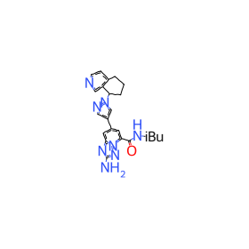 CCC(C)NC(=O)c1cc(-c2cnn(C3CCCc4ccncc43)c2)cc2nc(N)nn12